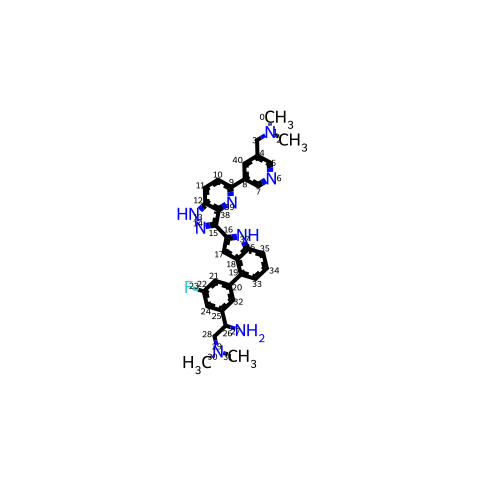 CN(C)Cc1cncc(-c2ccc3[nH]nc(-c4cc5c(-c6cc(F)cc(C(N)CN(C)C)c6)cccc5[nH]4)c3n2)c1